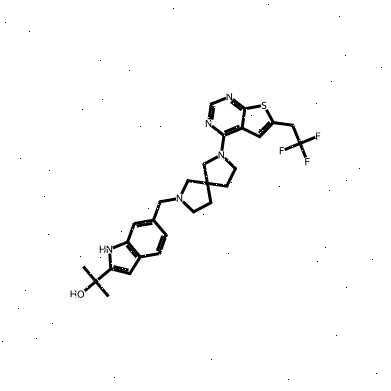 CC(C)(O)c1cc2ccc(CN3CCC4(CCN(c5ncnc6sc(CC(F)(F)F)cc56)C4)C3)cc2[nH]1